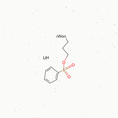 CCCCCCCCCCCCOS(=O)(=O)c1ccccc1.[LiH]